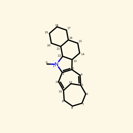 CN1C2=C(C=C3CCCCC(=C2)C3)C2CCC3CCCCC3C21